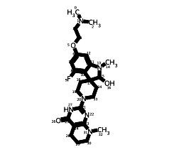 CN(C)CCOc1cc(F)c2c(c1)N(C)C(O)C21CCN(c2nc3c(c(=O)[nH]2)CCCN3C)CC1